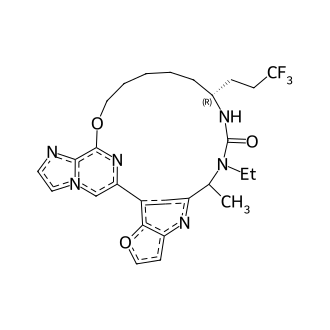 CCN1C(=O)N[C@@H](CCC(F)(F)F)CCCCCOc2nc(cn3ccnc23)-c2cc(nc3ccoc23)C1C